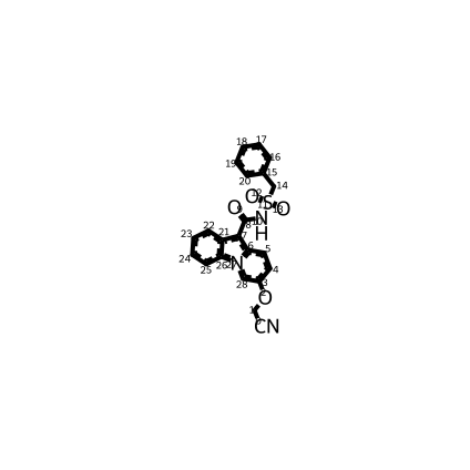 N#CCOc1ccc2c(C(=O)NS(=O)(=O)Cc3ccccc3)c3ccccc3n2c1